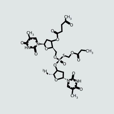 [2H]C[C@H]1O[C@@H](n2cc(C)c(=O)[nH]c2=O)CC1OP(=O)(OC[C@H]1O[C@@H](n2cc(C)c(=O)[nH]c2=O)CC1OC(=O)CCC(C)=O)SCOC(=O)CC